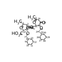 Cc1cc(=O)c(OCc2ccccc2)c(C(=O)O)o1.Cc1cc(=O)c(OCc2ccccc2)c(C=O)o1